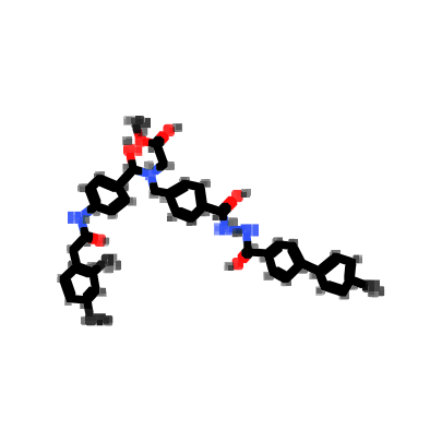 COc1ccc(CC(=O)Nc2ccc(C(O)N(CC(=O)OC(C)(C)C)Cc3ccc(C(=O)NNC(=O)c4ccc(-c5ccc(C)cc5)cc4)cc3)cc2)c(C(F)(F)F)c1